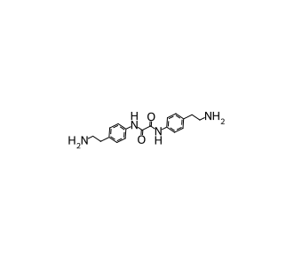 NCCc1ccc(NC(=O)C(=O)Nc2ccc(CCN)cc2)cc1